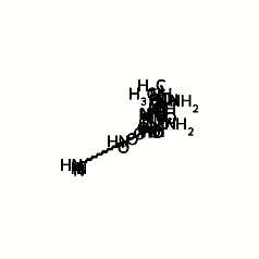 CCCC[C@H](NC(=O)[C@H](CCCCN)NC(=O)[C@H](Cc1c[nH]cn1)NC(=O)[C@H](CCC(N)=O)NC(=O)[C@H](CO)NC(=O)CNC(=O)COCCOCCNC(=O)CCCCCCCCCCCCCCCc1nnn[nH]1)C(=O)NC